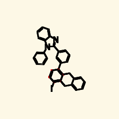 Ic1cccc2c1C1c3ccccc3C2c2c(-c3cccc(-c4nc5ccccc5n4-c4ccccc4)c3)cccc21